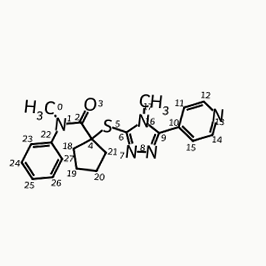 CN(C(=O)C1(Sc2nnc(-c3ccncc3)n2C)CCCC1)c1ccccc1